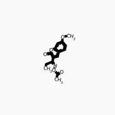 CCC(=NOC(C)=O)c1cc2ccc(OC)cc2oc1=O